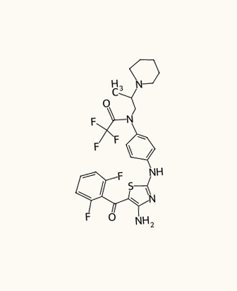 CC(CN(C(=O)C(F)(F)F)c1ccc(Nc2nc(N)c(C(=O)c3c(F)cccc3F)s2)cc1)N1CCCCC1